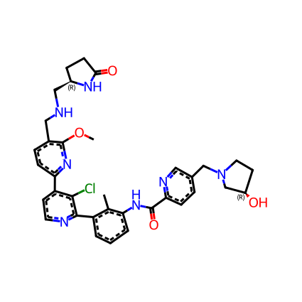 COc1nc(-c2ccnc(-c3cccc(NC(=O)c4ccc(CN5CC[C@@H](O)C5)cn4)c3C)c2Cl)ccc1CNC[C@H]1CCC(=O)N1